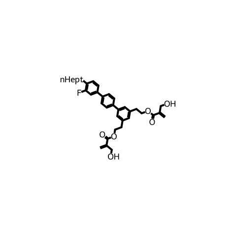 C=C(CO)C(=O)OCCc1cc(CCOC(=O)C(=C)CO)cc(-c2ccc(-c3ccc(CCCCCCC)c(F)c3)cc2)c1